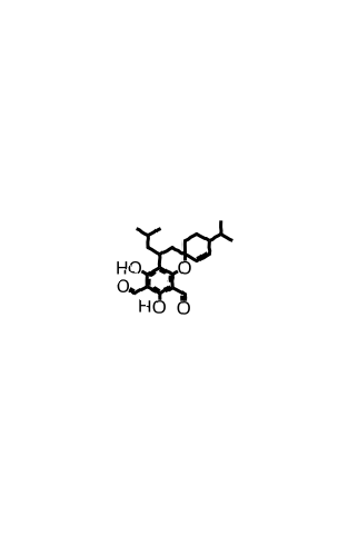 CC(C)CC1CC2(C=CC(C(C)C)CC2)Oc2c(C=O)c(O)c(C=O)c(O)c21